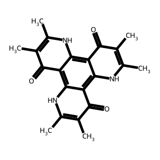 Cc1[nH]c2c(c(=O)c1C)c1[nH]c(C)c(C)c(=O)c1c1[nH]c(C)c(C)c(=O)c21